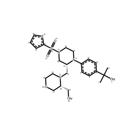 CC(C)(O)c1ccc(N2CCN(S(=O)(=O)c3cccs3)C[C@H]2CN2CCOC[C@H]2CO)cc1